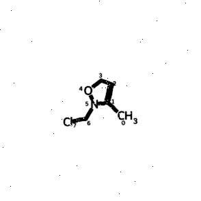 CC1=CCON1CCl